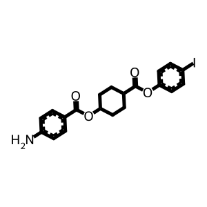 Nc1ccc(C(=O)OC2CCC(C(=O)Oc3ccc(I)cc3)CC2)cc1